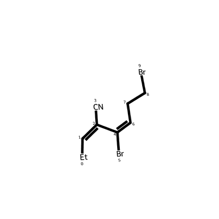 CC/C=C(C#N)\C(Br)=C/CCBr